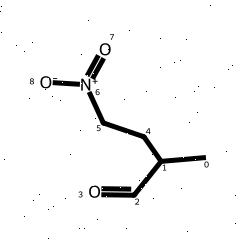 CC(C=O)CC[N+](=O)[O-]